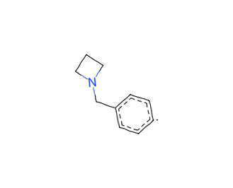 [c]1ccc(CN2CCC2)cc1